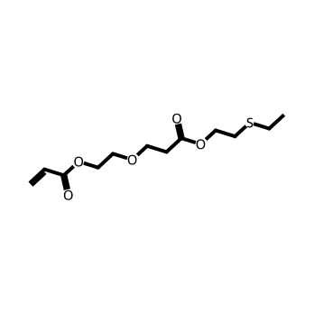 C=CC(=O)OCCOCCC(=O)OCCSCC